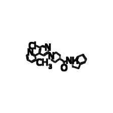 Cc1cccnc1-c1cc(N2CCC(C(=O)N[C@H]3CCc4ccccc43)CC2)ncc1Cl